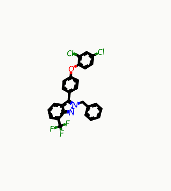 FC(F)(F)c1cccc2c(-c3ccc(Oc4ccc(Cl)cc4Cl)cc3)n(Cc3ccccc3)nc12